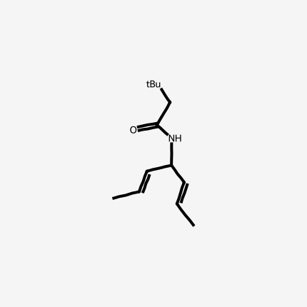 CC=CC(C=CC)NC(=O)CC(C)(C)C